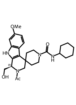 COc1ccc2c3c([nH]c2c1)[C@H](CO)N(C(C)=O)CC31CCN(C(=O)NC2CCCCC2)CC1